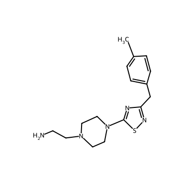 Cc1ccc(Cc2nsc(N3CCN(CCN)CC3)n2)cc1